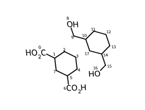 O=C(O)C1CCCC(C(=O)O)C1.OCC1CCCC(CO)C1